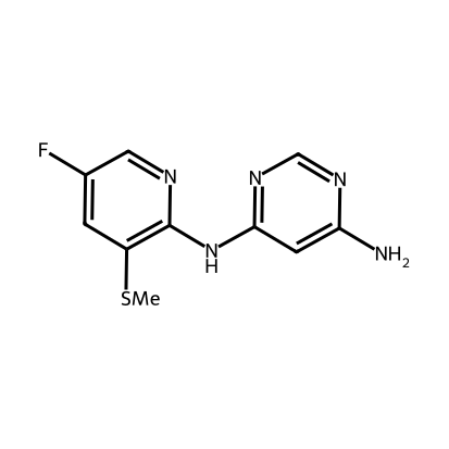 CSc1cc(F)cnc1Nc1cc(N)ncn1